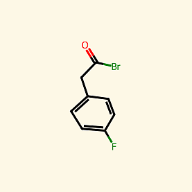 O=C(Br)Cc1ccc(F)cc1